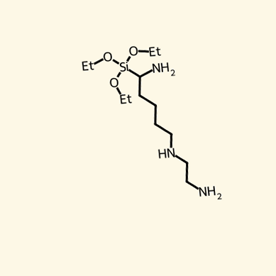 CCO[Si](OCC)(OCC)C(N)CCCCNCCN